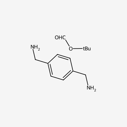 CC(C)(C)OC=O.NCc1ccc(CN)cc1